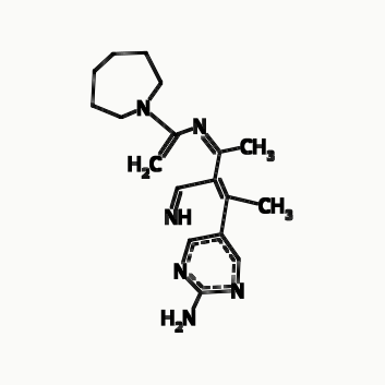 C=C(/N=C(C)\C(C=N)=C(/C)c1cnc(N)nc1)N1CCCCCC1